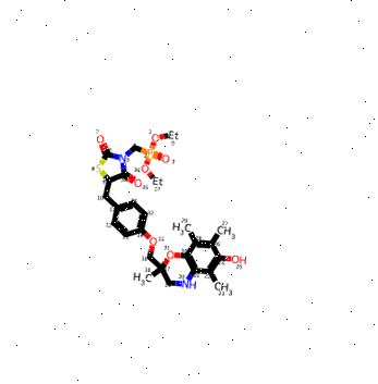 CCOP(=O)(CN1C(=O)SC(Cc2ccc(OCC3(C)CNc4c(C)c(O)c(C)c(C)c4O3)cc2)C1=O)OCC